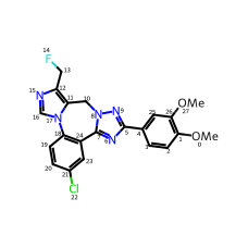 COc1ccc(-c2nc3n(n2)Cc2c(CF)ncn2-c2ccc(Cl)cc2-3)cc1OC